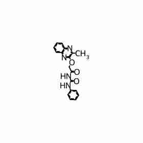 Cc1nc2ccccc2nc1OCC(=O)NC(=O)Nc1ccccc1